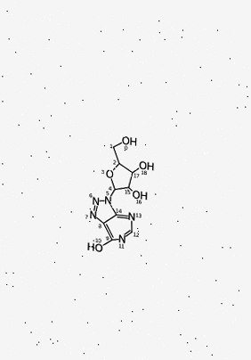 OCC1OC(n2nnc3c(O)ncnc32)C(O)C1O